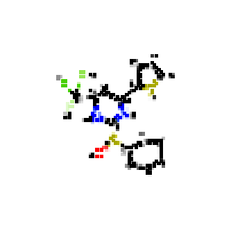 [O-][S+](c1ccccc1)c1nc(-c2cccs2)cc(C(F)(F)F)n1